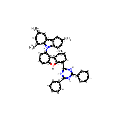 Bc1cc(B)c2c(c1)c1cc(B)cc(B)c1n2-c1cccc2oc3c(-c4nc(-c5ccccc5)nc(-c5ccccc5)n4)cccc3c12